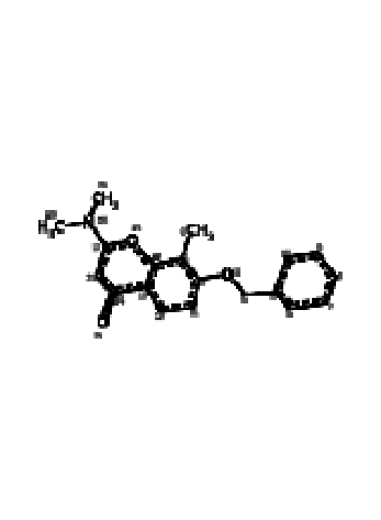 Cc1c(OCc2ccccc2)ccc2c(=O)cc(N(C)C)oc12